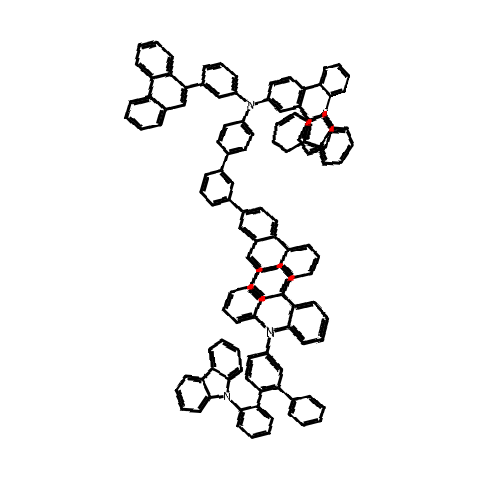 C1=Cc2c(c3ccccc3n2-c2ccccc2-c2ccc(N(c3ccc(-c4cccc(-c5ccc6c(c5)cc(-c5cccc(N(c7ccc(-c8ccccc8-n8c9ccccc9c9ccccc98)c(-c8ccccc8)c7)c7ccccc7-c7ccccc7)c5)c5ccccc56)c4)cc3)c3cccc(-c4cc5ccccc5c5ccccc45)c3)cc2-c2ccccc2)CC1